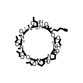 C#CCCC[C@H]1OC(=O)[C@H](C(C)C)NC(=O)[C@@H]2CCCN2C(=O)[C@@H]2CCCN2C(=O)[C@H](C(C)C)OC(=O)[C@H](C(C)C)N(C)C(=O)[C@H](C(C)C)N(C)C(=O)[C@H](C)N(C)C(=O)[C@H]([C@@H](C)CC)NC(=O)C1(C)C